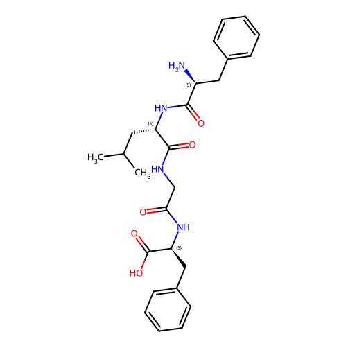 CC(C)C[C@H](NC(=O)[C@@H](N)Cc1ccccc1)C(=O)NCC(=O)N[C@@H](Cc1ccccc1)C(=O)O